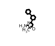 Cn1c(N)nc(-c2cccc(-c3ccccc3)c2)cc1=O